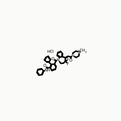 CN1CCN(C(=O)C=C2c3ccccc3N(C(=O)c3cccc(C(=O)Nc4ccccc4)c3-c3ccccc3)CCC2(F)F)CC1.Cl